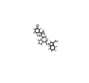 CC(=O)c1cn(CC(=O)N2CCC[C@H]2C(=O)NC2(c3cccc(Cl)c3)CC2)c2ccccc12